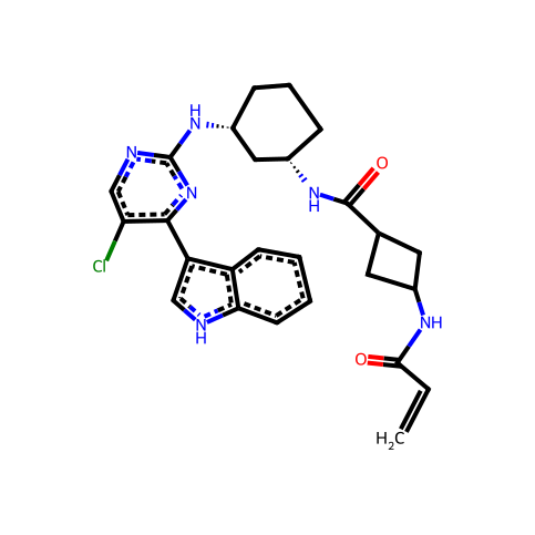 C=CC(=O)NC1CC(C(=O)N[C@H]2CCC[C@@H](Nc3ncc(Cl)c(-c4c[nH]c5ccccc45)n3)C2)C1